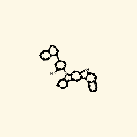 Oc1cc(-c2cccc3ccccc23)ccc1-n1c2ccccc2c2cc3c(cc21)[nH]c1ccc2ccccc2c13